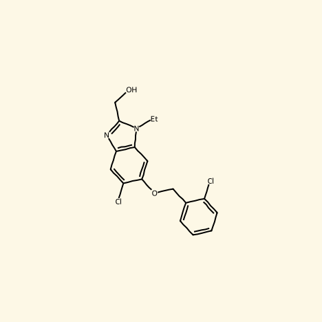 CCn1c(CO)nc2cc(Cl)c(OCc3ccccc3Cl)cc21